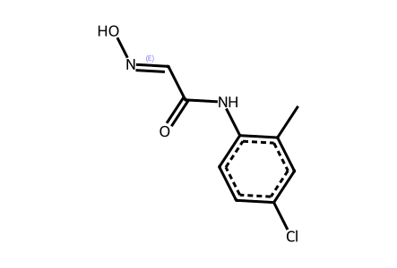 Cc1cc(Cl)ccc1NC(=O)/C=N/O